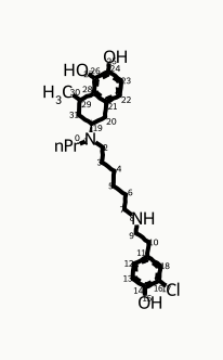 CCCN(CCCCCCNCCc1ccc(O)c(Cl)c1)[C@@H]1Cc2ccc(O)c(O)c2C(C)C1